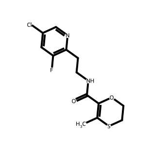 CC1=C(C(=O)NCCc2ncc(Cl)cc2F)OCCS1